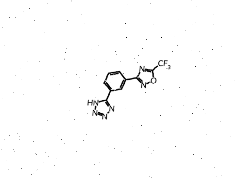 FC(F)(F)c1nc(-c2cccc(-c3nnn[nH]3)c2)no1